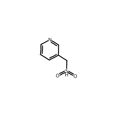 O=[SH](=O)Cc1c[c]cnc1